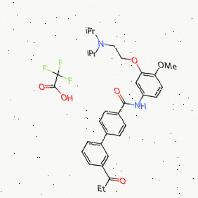 CCC(=O)c1cccc(-c2ccc(C(=O)Nc3ccc(OC)c(OCCN(C(C)C)C(C)C)c3)cc2)c1.O=C(O)C(F)(F)F